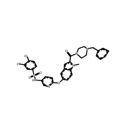 Cn1c(C(=O)N2CCN(Cc3ccccc3)CC2)cc2cc(Oc3ccc(NS(=O)(=O)c4ccc(Cl)c(Cl)c4)cn3)ccc21